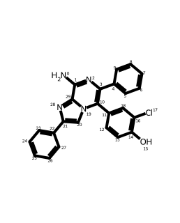 Nc1nc(-c2ccccc2)c(-c2ccc(O)c(Cl)c2)n2cc(-c3ccccc3)nc12